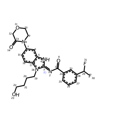 O=C(/N=c1\[nH]c2cc(N3CCOCC3=O)ccc2n1CCCCO)c1cccc(C(F)F)c1